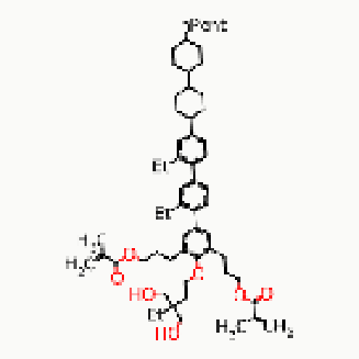 C=C(C)C(=O)OCCCc1cc(-c2ccc(-c3ccc(C4CCC(C5CCC(CCCCC)CC5)CC4)cc3CC)cc2CC)cc(CCCOC(=O)C(=C)C)c1OCCC(CC)(CO)CO